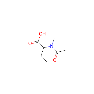 CCC(C(=O)O)N(C)C(C)=O